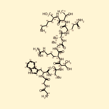 CC[C@H](C)[C@H](NC(=O)[C@H](Cc1c[nH]c2ccccc12)NC(=O)CNC(=O)CN)C(=O)N[C@H](C(=O)N[C@@H](CCCNC(=N)N)C(=O)N[C@H](C(=O)N[C@H](C(=O)N[C@@H](CCC(N)=O)C(=O)N[C@H](C(=O)N[C@@H](CCCCN)C(=O)O)[C@@H](C)O)[C@@H](C)CC)[C@@H](C)CC)[C@@H](C)O